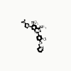 CN(C)C1CCN(c2cc3nc(-c4ccc(OCc5ccccn5)c(Cl)c4)nc(N)c3cc2[N+](=O)[O-])C1